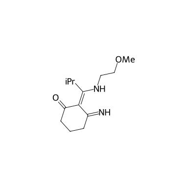 COCCN/C(=C1\C(=N)CCCC1=O)C(C)C